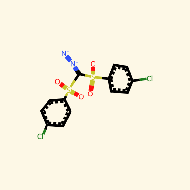 [N-]=[N+]=C(S(=O)(=O)c1ccc(Cl)cc1)S(=O)(=O)c1ccc(Cl)cc1